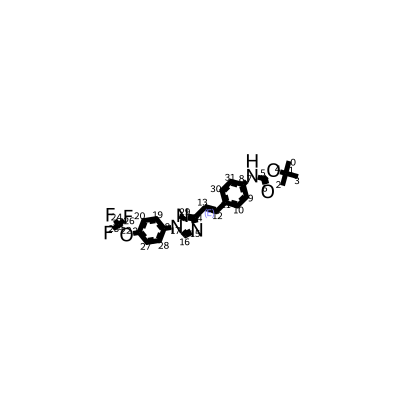 CC(C)(C)OC(=O)Nc1ccc(/C=C/c2ncn(-c3ccc(OC(F)(F)F)cc3)n2)cc1